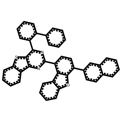 c1ccc(-c2ccccc2-c2nc(-c3ccc(-c4ccc5ccccc5c4)c4oc5ccccc5c34)nc3c2sc2ccccc23)cc1